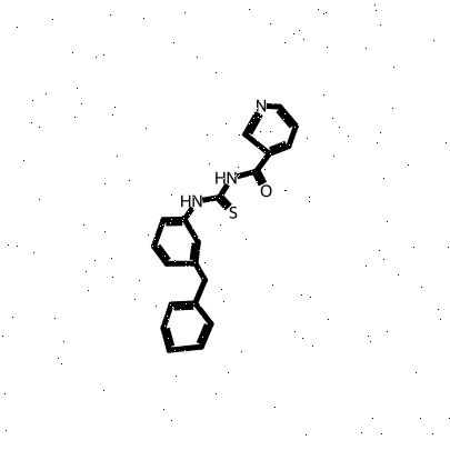 O=C(NC(=S)Nc1cccc(Cc2ccccc2)c1)c1cccnc1